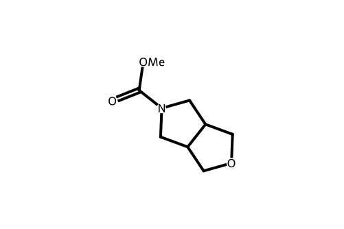 COC(=O)N1CC2COCC2C1